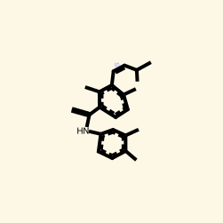 C=C(Nc1ccc(C)c(C)c1)c1ccc(C)c(/C=C\C(C)C)c1C